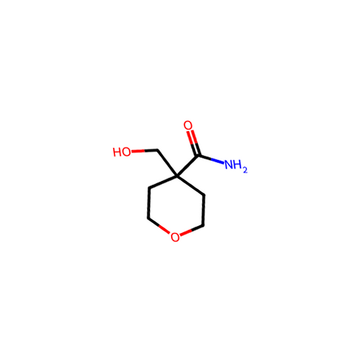 NC(=O)C1(CO)CCOCC1